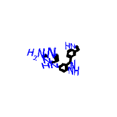 Nc1nccc(Nc2ccc3[nH]nc(-c4ccc5[nH]ccc5c4)c3c2)n1